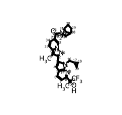 Cc1c(-c2cc3ccc(C(C)(O)C(F)(F)F)nc3n2CC2CC2)nn2cc(C(=O)N3CC4CCC3[C@@H]4N)ccc12